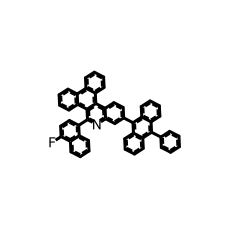 Fc1ccc(-c2nc3cc(-c4c5ccccc5c(-c5ccccc5)c5ccccc45)ccc3c3c4ccccc4c4ccccc4c23)c2ccccc12